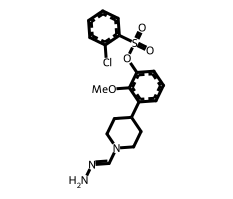 COc1c(OS(=O)(=O)c2ccccc2Cl)cccc1C1CCN(C=NN)CC1